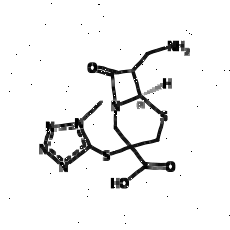 Cn1nnnc1SC1(C(=O)O)CS[C@@H]2C(CN)C(=O)N2C1